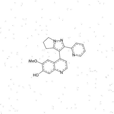 COc1cc2c(-c3c(-c4ccccn4)nn4c3CCC4)ccnc2cc1O